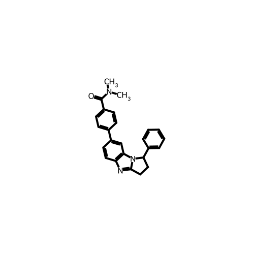 CN(C)C(=O)c1ccc(-c2ccc3nc4n(c3c2)C(c2ccccc2)CC4)cc1